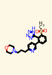 CS(=O)(=O)c1cccc(-c2ccc(CCCN3CCOCC3)nc2)c1-c1nnn[nH]1